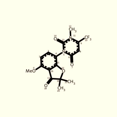 COc1ccc(-n2c(=O)cc(C(F)(F)F)n(C)c2=O)c2c1C(=O)C(C)(C)O2